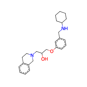 OC(COc1cccc(CNC2CCCCC2)c1)CN1CCc2ccccc2C1